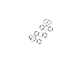 c1ccc2c(c1)N1c3cccc4c3B(c3cccc(c31)C21C2CC3CC(C2)CC1C3)c1cccc2c1N4c1ccccc1C21C2CC3CC4CC1C2(C3)C4